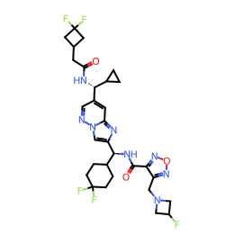 O=C(CC1CC(F)(F)C1)N[C@@H](c1cnn2cc([C@@H](NC(=O)c3nonc3CN3CC(F)C3)C3CCC(F)(F)CC3)nc2c1)C1CC1